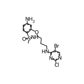 CS(=N)(=O)c1ccc(N)cc1OCCCCNc1nc(Cl)ncc1Br